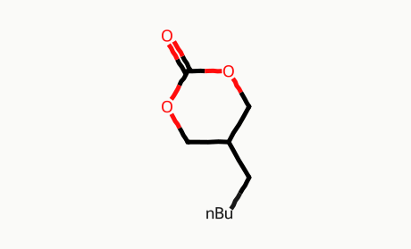 CCCCCC1COC(=O)OC1